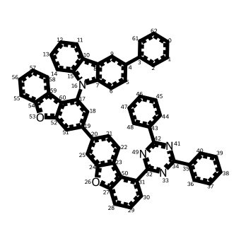 c1ccc(-c2ccc3c(c2)c2ccccc2n3-c2cc(-c3ccc4c(c3)oc3cccc(-c5nc(-c6ccccc6)nc(-c6ccccc6)n5)c34)cc3oc4ccccc4c23)cc1